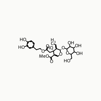 C/C=C1/[C@H](OC2OC(CO)C(O)C(O)C2O)OC=C(C(=O)OC)[C@@]1(O)CC(=O)OCCc1ccc(O)c(O)c1